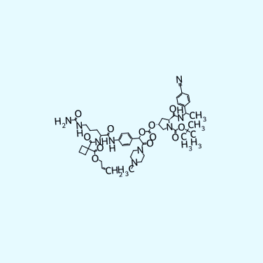 C=CCOC(=O)C1(C(=O)NC(CCCNC(N)=O)C(=O)Nc2ccc(C(OC(=O)O[C@@H]3C[C@@H](C(=O)NC(C)c4ccc(C#N)cc4)N(C(=O)OC(C)(C)C)C3)C(=O)N3CCN(C)CC3)cc2)CCC1